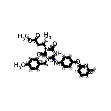 COC(=O)C[C@@H](C)n1c(=O)[nH]/c(=N\c2ccc(Oc3cccc(F)n3)cc2)n(Cc2ccc(C)cc2)c1=O